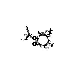 CCCCOC[C@@](O)(/C=C/C(N)=O)[C@@H](C)OC1=CC=C([C@@H]2NC(=O)[C@@H]([C@@H](C)CC)NC(=O)[C@@H](NC(=O)[C@H](C)[C@H](O)C(C)C)[C@@H](C)OC(=O)[C@H](COC(C)=O)NC(=O)[C@@H]([C@@H](C)O)NC(=O)[C@H](Cc3ccccc3)N(C)C2=O)CC1